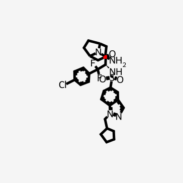 NC1CC2CCC(C1)N2C(=O)[C@H](NS(=O)(=O)c1ccc2c(cnn2CC2CCCC2)c1)C(F)(F)c1ccc(Cl)cc1